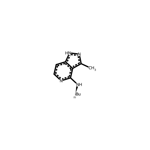 CC[C@H](C)Nc1nccc2[nH]nc(C)c12